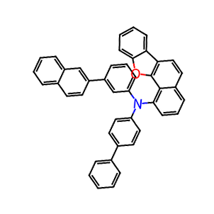 c1ccc(-c2ccc(N(c3cccc(-c4ccc5ccccc5c4)c3)c3cccc4ccc5c6ccccc6oc5c34)cc2)cc1